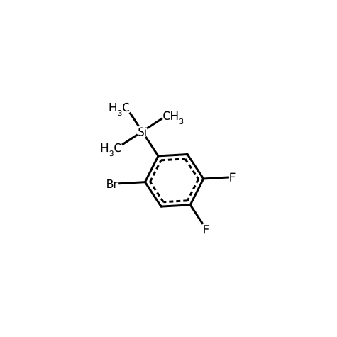 C[Si](C)(C)c1cc(F)c(F)cc1Br